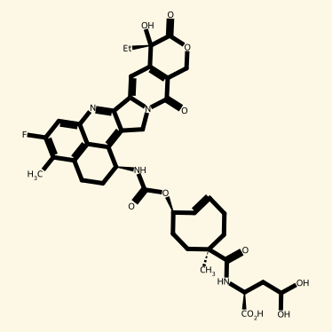 CC[C@@]1(O)C(=O)OCc2c1cc1n(c2=O)Cc2c-1nc1cc(F)c(C)c3c1c2[C@@H](NC(=O)O[C@H]1/C=C/CC[C@@](C)(C(=O)N[C@@H](CC(O)O)C(=O)O)CC1)CC3